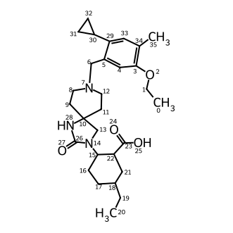 CCOc1cc(CN2CCC3(CC2)CN(C2CCC(CC)CC2C(=O)O)C(=O)N3)c(C2CC2)cc1C